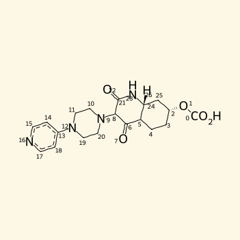 O=C(O)O[C@@H]1CCC2C(=O)C(N3CCN(c4ccncc4)CC3)C(=O)N[C@@H]2C1